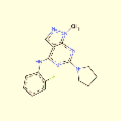 Cn1ncc2c(Nc3ccccc3F)nc(N3CCCC3)nc21